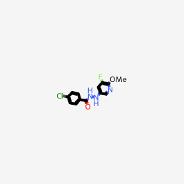 COc1ncc(NNC(=O)c2ccc(Cl)cc2)cc1F